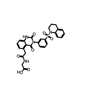 O=C(O)CNC(=O)Cc1cccc2[nH]c(=O)n(-c3cccc(S(=O)(=O)N4CCCc5ccccc54)c3)c(=O)c12